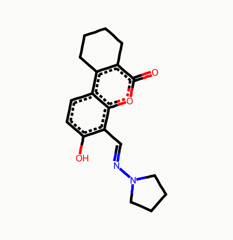 O=c1oc2c(/C=N/N3CCCC3)c(O)ccc2c2c1CCCC2